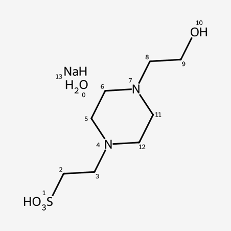 O.O=S(=O)(O)CCN1CCN(CCO)CC1.[NaH]